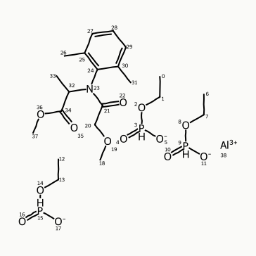 CCO[PH](=O)[O-].CCO[PH](=O)[O-].CCO[PH](=O)[O-].COCC(=O)N(c1c(C)cccc1C)C(C)C(=O)OC.[Al+3]